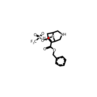 CN1C2CNCC1C(C(=O)OCc1ccccc1)=C(OS(=O)(=O)C(F)(F)F)C2